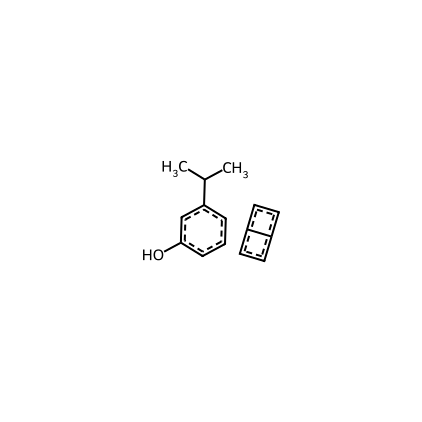 CC(C)c1cccc(O)c1.c1cc2ccc1-2